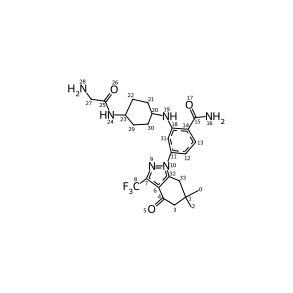 CC1(C)CC(=O)c2c(C(F)(F)F)nn(-c3ccc(C(N)=O)c(NC4CCC(NC(=O)CN)CC4)c3)c2C1